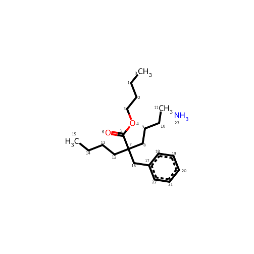 CCCCOC(=O)C(CCCC)(CCCC)Cc1ccccc1.N